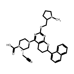 CN1CCCC1COc1nc2c(c(N3CCN(C(=O)O)[C@@H](CC#N)C3)n1)CCC(c1cccc3ccccc13)O2